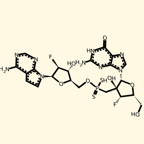 Nc1nc2c(ncn2[C@@H]2O[C@H](CO)[C@H](F)[C@]2(O)CP(=S)(S)OC[C@H]2O[C@@H](n3ccc4c(N)ncnc43)[C@@H](F)[C@@H]2O)c(=O)[nH]1